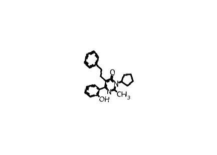 Cc1nc(-c2ccccc2O)c(CCc2ccccc2)c(=O)n1C1CCCC1